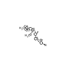 COCCn1c(Cc2ccc(-c3cccc(OCc4ccc(C#N)cc4Br)n3)cc2F)nc2ccc(C(=O)OC(C)(C)C)cc21